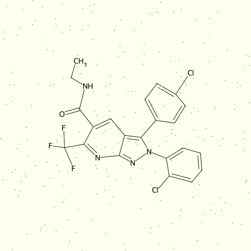 CCNC(=O)c1cc2c(-c3ccc(Cl)cc3)n(-c3ccccc3Cl)nc2nc1C(F)(F)F